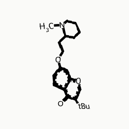 CN1CCCCC1CCOc1ccc2c(=O)c(C(C)(C)C)coc2c1